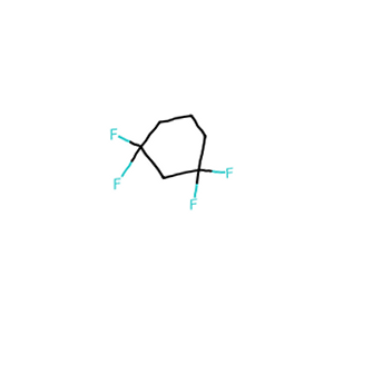 FC1(F)CCCC(F)(F)C1